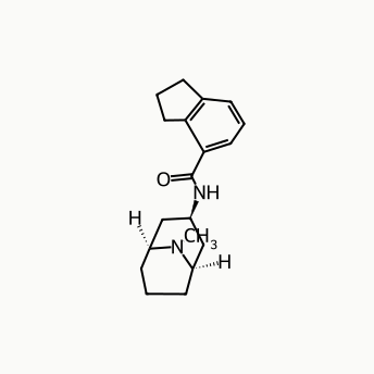 CN1[C@@H]2CCC[C@H]1C[C@@H](NC(=O)c1cccc3c1CCC3)C2